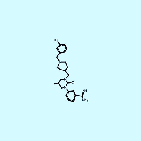 CC1CN(CC2CCN(Cc3cccc(O)c3)CC2)C(=O)N(c2cccc(C(=N)N)c2)C1